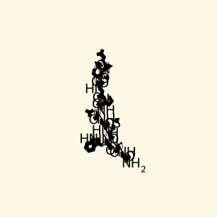 CO[C@@H]1[C@H](OC(=O)NCC(=O)N2CCCC2C(=O)N[C@@H](CC(C)C)C(=O)NCC(=O)N[C@@H](CCSC)C(=O)N[C@@H](Cc2c[nH]c3ccccc23)C(=O)N[C@@H](C)C(=O)NCC(N)=O)CC[C@]2(CO2)[C@H]1[C@@]1(C)C[C@@H]1CC=C(C)C